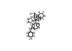 CCOc1ccccc1CC(O)(C1CCCC1)C1CN(Cc2ccccc2)CCO1